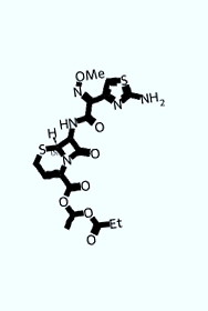 CCC(=O)OC(C)OC(=O)C1=CCS[C@H]2C(NC(=O)C(=NOC)c3csc(N)n3)C(=O)N12